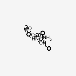 Cc1ccc(N2CCOC2=O)c(C)c1OCC(=O)N[C@H](C(=O)C(N)(CCCCCc1ccccc1)c1ccccc1)C(C)(C)O